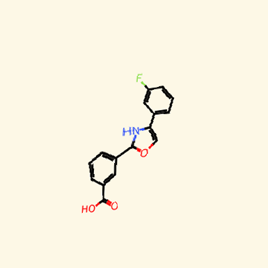 O=C(O)c1cccc(C2NC(c3cccc(F)c3)=CO2)c1